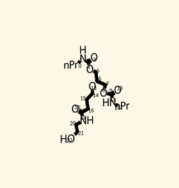 CCCNC(=O)OCC(COC(=O)NCCC)OCCCC(=O)NCCO